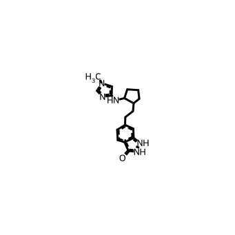 Cn1cnc(NC2CCCC2CCc2ccc3c(=O)[nH][nH]c3c2)c1